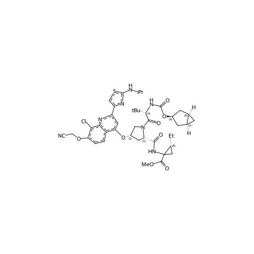 CC[C@@H]1CC1(NC(=O)[C@@H]1C[C@H](Oc2cc(-c3csc(NC(C)C)n3)nc3c(Cl)c(OCC#N)ccc23)CN1C(=O)[C@@H](NC(=O)O[C@@H]1C[C@@H]2C[C@@H]2C1)C(C)(C)C)C(=O)OC